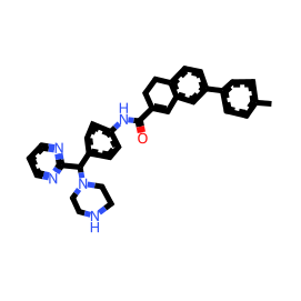 Cc1ccc(-c2ccc3c(c2)C=C(C(=O)Nc2ccc(C(c4ncccn4)N4CCNCC4)cc2)CC3)cc1